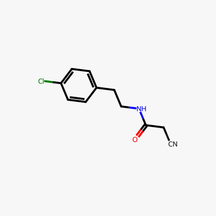 N#CCC(=O)NCCc1ccc(Cl)cc1